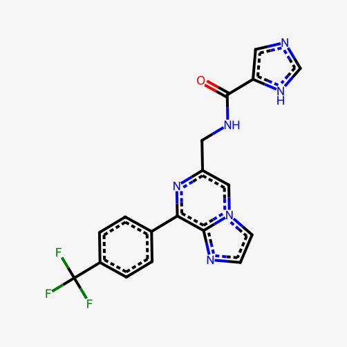 O=C(NCc1cn2ccnc2c(-c2ccc(C(F)(F)F)cc2)n1)c1cnc[nH]1